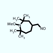 CON1C(C)(C)CCC(CN=O)CC1(C)C